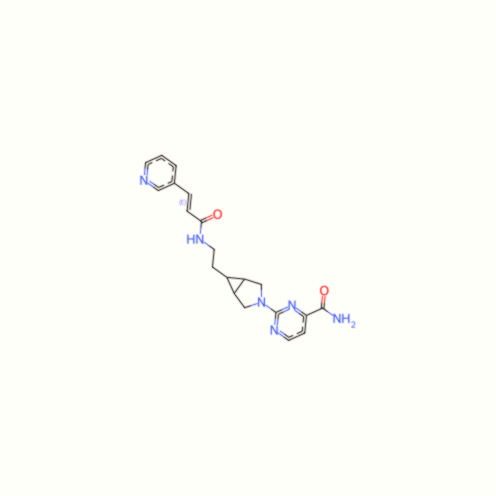 NC(=O)c1ccnc(N2CC3C(CCNC(=O)/C=C/c4cccnc4)C3C2)n1